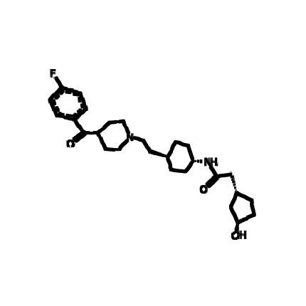 O=C(C[C@@H]1CC[C@@H](O)C1)N[C@H]1CC[C@H](CCN2CCC(C(=O)c3ccc(F)cc3)CC2)CC1